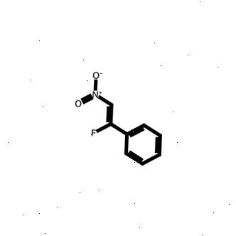 O=[N+]([O-])C=C(F)c1ccccc1